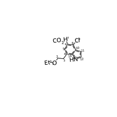 CCOCCc1cc(C(=O)O)c(Cl)c2cc[nH]c12